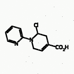 O=C(O)C1=CCN(c2ccccn2)C(Cl)C1